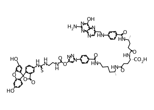 C[C@H](CCCCNC(=O)c1ccc(-n2cc(OC(=O)NCCNC(=S)Nc3ccc4c(c3)C(=O)OC43c4ccc(O)cc4Oc4cc(O)ccc43)nn2)cc1)NC(=O)CC[C@H](NC(=O)CC[C@@H](C)NC(=O)c1ccc(NCc2cnc3nc(N)nc(O)c3n2)cc1)C(=O)O